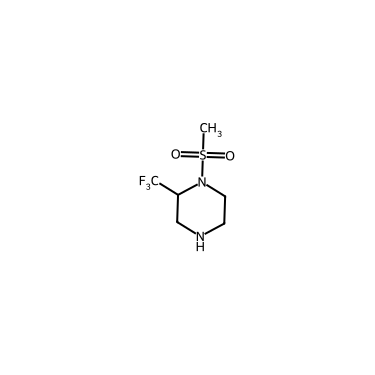 CS(=O)(=O)N1CCNCC1C(F)(F)F